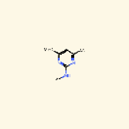 COc1cc(C#N)nc(NC(C)C)n1